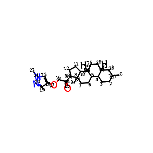 C[C@H]1CCC2C3CC[C@@]4(C)C(CC[C@@H]4C(=O)COc4cnn(C)c4)[C@@H]3CC[C@@H]2C1